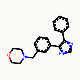 c1ccc(-c2nc[nH]c2-c2cccc(CN3CCOCC3)c2)cc1